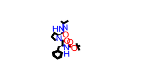 CC(C)=NNC(=O)[C@@H]1CCCN1C(=O)[C@H](Cc1ccccc1)NC(=O)OC(C)(C)C